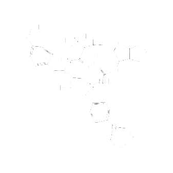 COc1ccc(CC(NC(=O)C(N)C(C)(C)C)C(O)CN(Cc2ccc(N3CCOCC3)cc2)NC(=O)OC2COC3OCCC23)cc1